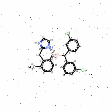 BC(c1cccc(Cl)c1)c1cccc(Cl)c1.Cc1cccc(C)c1Cc1ncc[nH]1